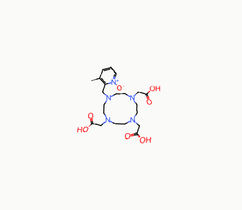 Cc1ccc[n+]([O-])c1CN1CCN(CC(=O)O)CCN(CC(=O)O)CCN(CC(=O)O)CC1